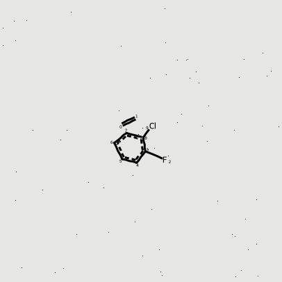 C=C.Fc1ccccc1Cl